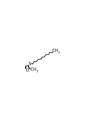 CCCCCCCCCCCCSc1ccoc1C